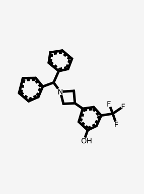 Oc1cc(C2CN(C(c3ccccc3)c3ccccc3)C2)cc(C(F)(F)F)c1